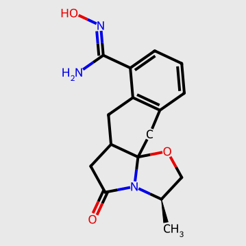 C[C@@H]1COC23Cc4cccc(/C(N)=N/O)c4CC2CC(=O)N13